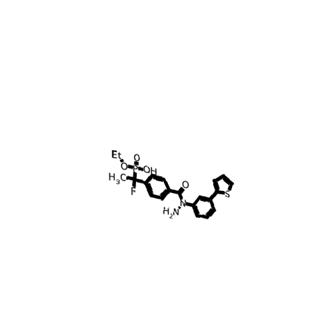 CCOP(=O)(O)C(C)(F)c1ccc(C(=O)N(N)c2cccc(-c3cccs3)c2)cc1